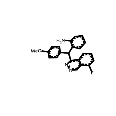 COc1ccc(C(c2ccccc2N)c2nncc3c(F)cccc23)cc1